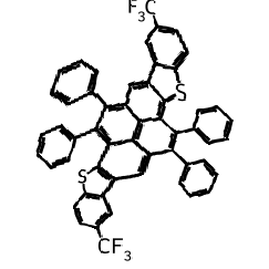 FC(F)(F)c1ccc2sc3c(cc4c(-c5ccccc5)c(-c5ccccc5)c5c6sc7ccc(C(F)(F)F)cc7c6cc6c(-c7ccccc7)c(-c7ccccc7)c3c4c65)c2c1